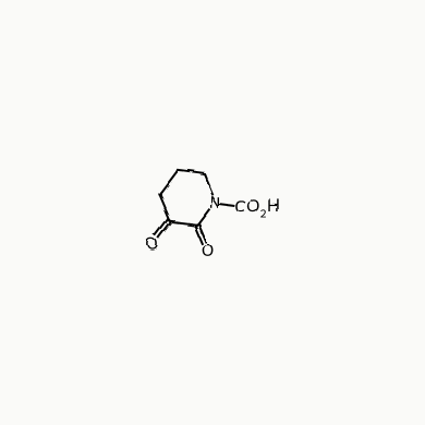 O=C1CCCN(C(=O)O)C1=O